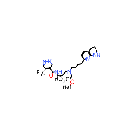 CC(C)(C)OCCN(CCCCc1ccc2c(n1)NCCC2)CC[C@H](NC(=O)c1cnncc1C(F)(F)F)C(=O)O